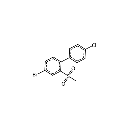 CS(=O)(=O)c1cc(Br)ccc1-c1ccc(Cl)cc1